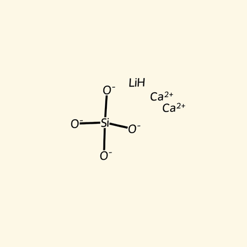 [Ca+2].[Ca+2].[LiH].[O-][Si]([O-])([O-])[O-]